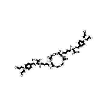 O=C1CCCCNC(=O)[C@H](CCCCN[C@H](CCc2ccc(N(CCCl)CCCl)cc2)C(=O)O)NC(=O)CCNC(=O)[C@H](CCCCN[C@@H](CCc2ccc(N(CCCl)CCCl)cc2)C(=O)O)N1